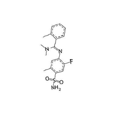 Cc1ccccc1/C(=N/c1cc(C)c(S(N)(=O)=O)cc1F)N(C)C